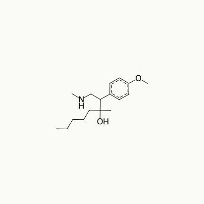 CCCCCC(C)(O)C(CNC)c1ccc(OC)cc1